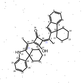 C/C(C1=Cc2ccccc2C12CCCCC2)=C1/C(=O)C(C(/C)=C2/Nc3ccccc3C23CCCCC3)=C1O